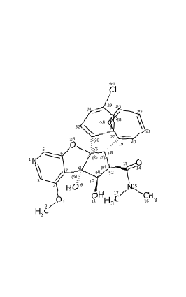 COc1cncc2c1[C@]1(O)[C@H](O)[C@H](C(=O)N(C)C)[C@@H](c3ccccc3)[C@]1(c1ccc(Cl)cc1)O2